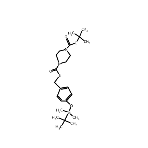 CC(C)(C)OC(=O)N1CCN(C(=O)SCc2ccc(O[Si](C)(C)C(C)(C)C)cc2)CC1